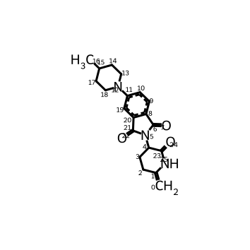 C=C1CCC(N2C(=O)c3ccc(N4CCC(C)CC4)cc3C2=O)C(=O)N1